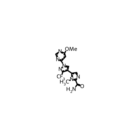 COc1cc(-n2cc(-c3cnc(C(N)=O)n3C)c(C(F)(F)F)n2)ncn1